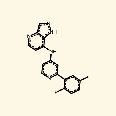 Cc1ccc(F)c(-c2cc(Nc3ccnc4cn[nH]c34)ccn2)c1